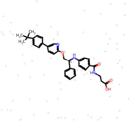 CC(C)(C)c1ccc(-c2ccc(OC[C@@H](Nc3ccc(C(=O)NCCC(=O)O)cc3)c3ccccc3)nc2)cc1